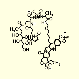 CC[C@@]1(O)C(=O)OCc2c1cc1n(c2=O)Cc2c-1nc1cc3c(cc1c2CCCCOCNC(=O)[C@H](C)NC(=O)[C@H](C)NC(=O)[C@H](CCC(=O)N(C)C[C@H](O)[C@@H](O)[C@H](O)[C@H](O)CO)NC(=O)CCN1C(=O)C=CC1=O)OC(F)(F)O3